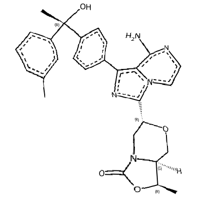 Cc1cccc([C@](C)(O)c2ccc(-c3nc([C@H]4CN5C(=O)O[C@H](C)[C@@H]5CO4)n4ccnc(N)c34)cc2)c1